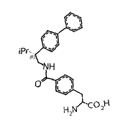 CC(C)[C@@H](CNC(=O)c1ccc(CC(N)C(=O)O)cc1)c1ccc(-c2ccccc2)cc1